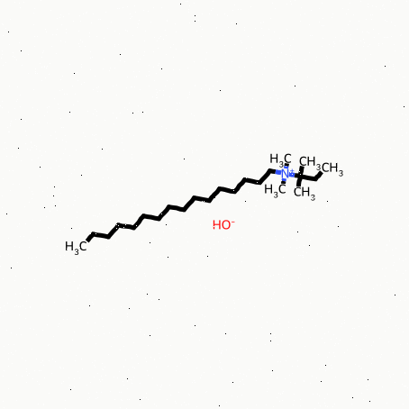 CCCCCCCCCCCCCCCC[N+](C)(C)C(C)(C)CC.[OH-]